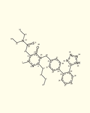 CCCCc1nc(C)c(CC(=S)N(CC)CC)c(=O)n1Cc1ccc(-c2ccccc2-c2nnn[nH]2)cc1